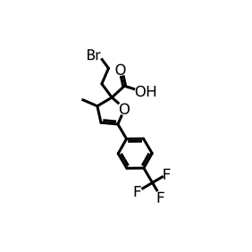 CC1C=C(c2ccc(C(F)(F)F)cc2)OC1(CCBr)C(=O)O